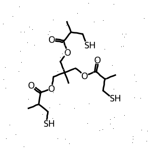 CC(CS)C(=O)OCC(C)(COC(=O)C(C)CS)COC(=O)C(C)CS